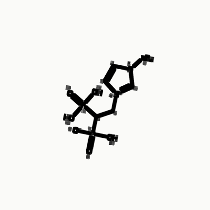 CCCCn1cc[n+](CC(P(=O)([O-])O)P(=O)(O)O)c1